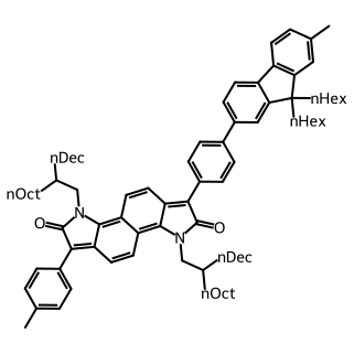 CCCCCCCCCCC(CCCCCCCC)CN1C(=O)C(c2ccc(C)cc2)=c2ccc3c4c(ccc3c21)=C(c1ccc(-c2ccc3c(c2)C(CCCCCC)(CCCCCC)c2cc(C)ccc2-3)cc1)C(=O)N4CC(CCCCCCCC)CCCCCCCCCC